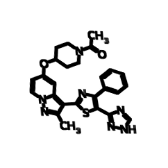 CC(=O)N1CCC(Oc2ccn3nc(C)c(-c4nc(-c5ccccc5)c(-c5nc[nH]n5)s4)c3c2)CC1